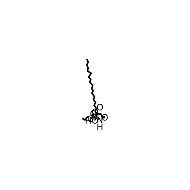 CCCCCCCCCCCCCCCCCC(=O)OC1CC(=O)N[C@]1(O)C(=O)OCCC